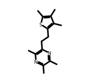 Cc1nc(C)c(CCc2sc(C)c(C)c2C)nc1C